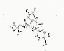 CN(C)C1(CNc2nc3c(F)c(F)cc(C(=N)N(O)c4ccc(F)c(Cl)c4)c3[nH]2)CCC1